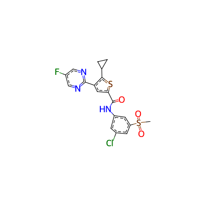 CS(=O)(=O)c1cc(Cl)cc(NC(=O)c2cc(-c3ncc(F)cn3)c(C3CC3)s2)c1